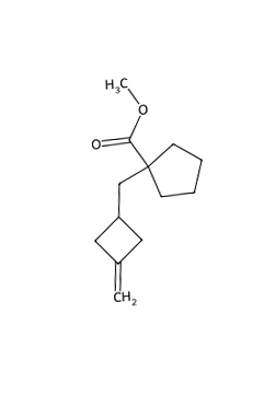 C=C1CC(CC2(C(=O)OC)CCCC2)C1